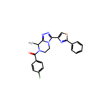 CC1c2nnc(-c3csc(-c4ccccc4)n3)n2CCN1C(=O)c1ccc(F)cc1